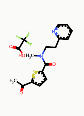 CN(CCc1ccccn1)C(=O)c1ccc(C(=O)C(F)(F)F)s1.O=C(O)C(F)(F)F